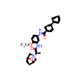 C[C@H](C(=O)Nc1cc(NC(=O)c2ccc(-c3ccccc3)cc2)ccc1OC(F)(F)F)N1CC2CCC(C1)O2